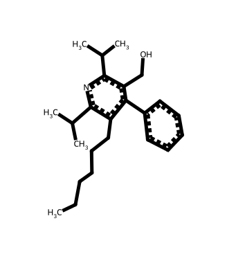 CCCCCCc1c(C(C)C)nc(C(C)C)c(CO)c1-c1ccccc1